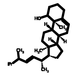 CC(C)C(C)C=C[C@@H](C)[C@H]1CC[C@H]2[C@@H]3CC=C4CCCC(O)[C@]4(C)[C@H]3CC[C@]12C